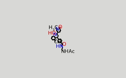 CC(=O)NCCNC(=O)c1ccc(C(CC(=NO)c2ccc(=O)n(C)c2)c2ccccc2C)cc1